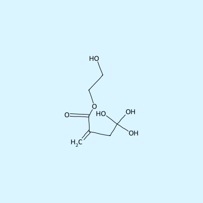 C=C(CC(O)(O)O)C(=O)OCCO